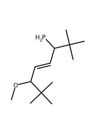 COC(C=CC(P)C(C)(C)C)C(C)(C)C